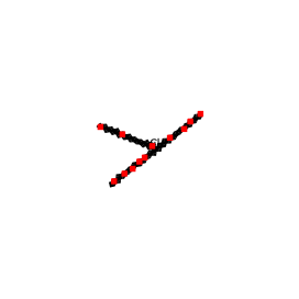 CCCCCCCCCCCCCCCCCCC(CCCCCCCCCCCCCCCCCC)N(Cl)CCCCCCCCCCCCCCCCCC